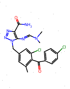 Cc1cc(Cn2nnc(C(N)=O)c2N=CN(C)C)cc(Cl)c1C(=O)c1ccc(Cl)cc1